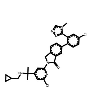 Cn1cnnc1-c1cc(Cl)ccc1-c1ccc2c(c1)C(=O)N(c1cc(C(C)(C)NCC3CC3)cc(Cl)n1)C2